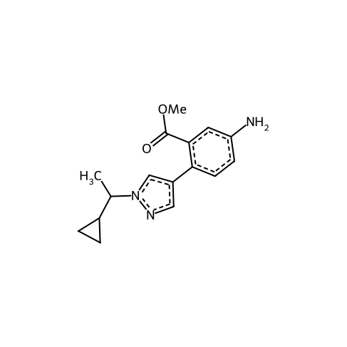 COC(=O)c1cc(N)ccc1-c1cnn(C(C)C2CC2)c1